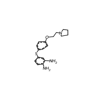 Nc1ccc(Sc2ccc(OCCN3CCCC3)cc2)cc1N